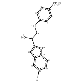 CCOC(=O)c1ccc(OCC(O)c2cc3cc(F)ccc3o2)cc1